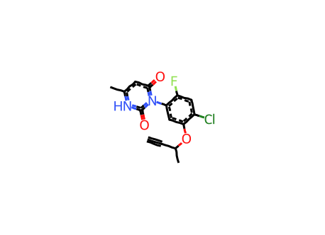 C#CC(C)Oc1cc(-n2c(=O)cc(C)[nH]c2=O)c(F)cc1Cl